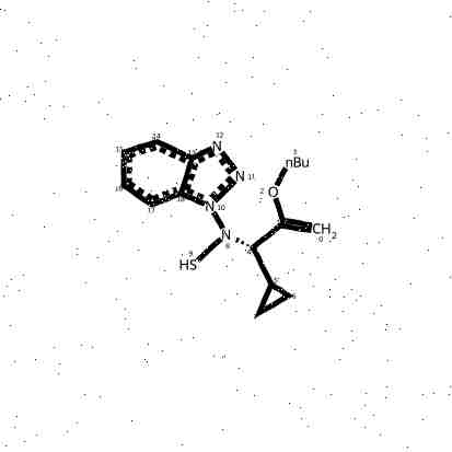 C=C(OCCCC)[C@H](C1CC1)N(S)n1nnc2ccccc21